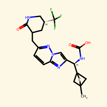 CC12CC([C@H](NC(=O)O)c3cn4nc(CC5C[C@@H](C(F)(F)F)CNC5=O)ccc4n3)(C1)C2